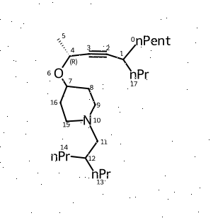 CCCCCC(C#C[C@@H](C)OC1CCN(CC(CCC)CCC)CC1)CCC